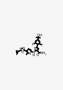 Cc1nc(Nc2sc(-c3c(F)cc(C(C)(C)O)cc3F)cc2C(N)=O)ccc1-c1nnc(C2CC2)o1